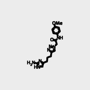 COc1ccc(NC(=O)Cn2cc(CCCc3c[nH]c(N)n3)nn2)cc1